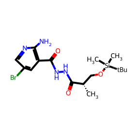 C[C@@H](CO[Si](C)(C)C(C)(C)C)C(=O)NNC(=O)c1cc(Br)cnc1N